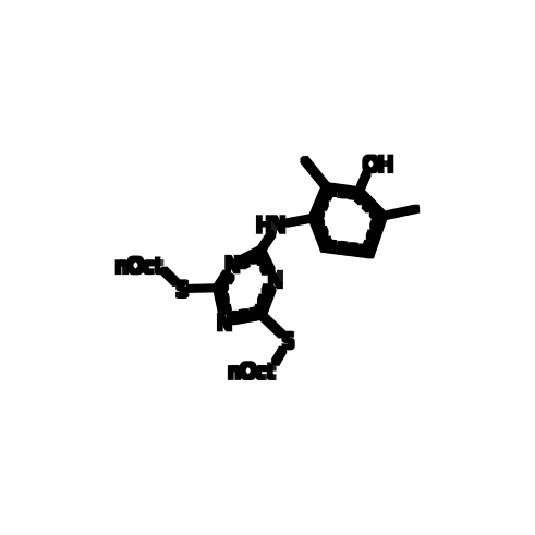 CCCCCCCCSc1nc(Nc2ccc(C)c(O)c2C)nc(SCCCCCCCC)n1